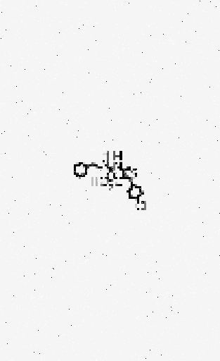 O=C(NCCc1ccccc1)Nc1csc(-c2ccc(Cl)cc2)c1C(=O)O